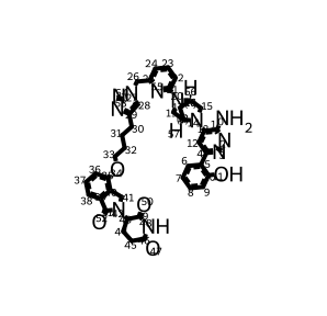 Nc1nnc(-c2ccccc2O)cc1N1C[C@H]2C[C@@H]1CN2c1cccc(Cn2cc(CCCCOc3cccc4c3CN(C3CCC(=O)NC3=O)C4=O)nn2)n1